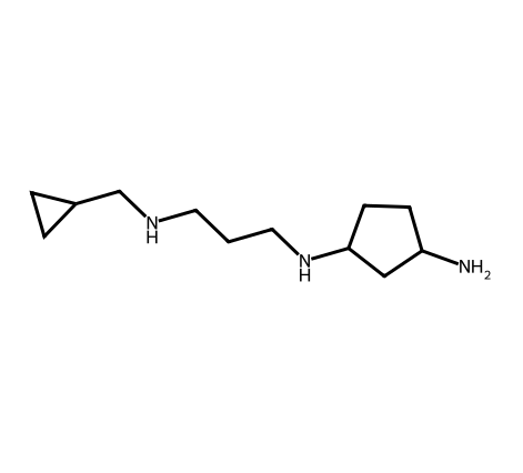 NC1CCC(NCCCNCC2CC2)C1